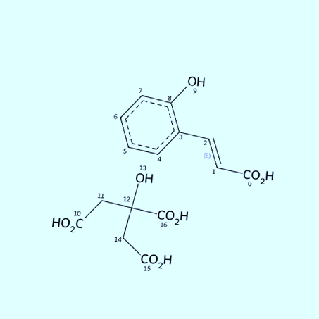 O=C(O)/C=C/c1ccccc1O.O=C(O)CC(O)(CC(=O)O)C(=O)O